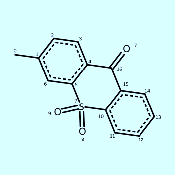 Cc1ccc2c(c1)S(=O)(=O)c1ccccc1C2=O